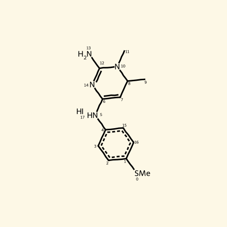 CSc1ccc(NC2=CC(C)N(C)C(N)=N2)cc1.I